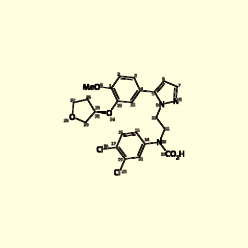 COc1ccc(-c2ccnn2CCN(C(=O)O)c2ccc(Cl)c(Cl)c2)cc1O[C@@H]1CCOC1